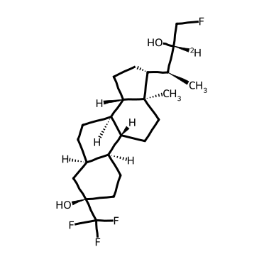 [2H][C@@](O)(CF)[C@@H](C)[C@H]1CC[C@H]2[C@@H]3CC[C@@H]4C[C@@](O)(C(F)(F)F)CC[C@@H]4[C@H]3CC[C@]12C